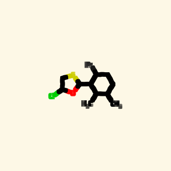 CC(C)C1CCC(C)C(C)[C]1C1OC(Cl)CS1